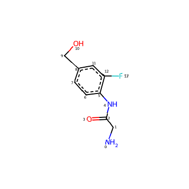 NCC(=O)Nc1ccc(CO)cc1F